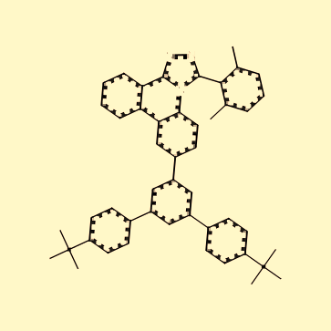 Cc1cccc(C)c1-c1nnc2c3ccccc3c3cc(-c4cc(-c5ccc(C(C)(C)C)cc5)cc(-c5ccc(C(C)(C)C)cc5)c4)ccc3n12